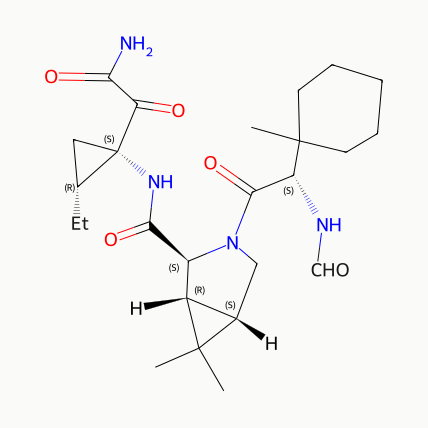 CC[C@@H]1C[C@@]1(NC(=O)[C@@H]1[C@@H]2[C@H](CN1C(=O)[C@@H](NC=O)C1(C)CCCCC1)C2(C)C)C(=O)C(N)=O